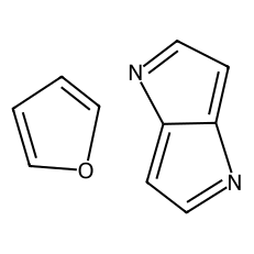 C1=NC2=CC=NC2=C1.c1ccoc1